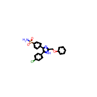 NS(=O)(=O)c1ccc(-c2nc(COc3ccccc3)[nH]c2-c2ccc(Cl)cc2)cc1